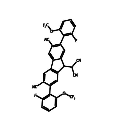 N#Cc1cc2c(cc1-c1c(F)cccc1OC(F)(F)F)C(C(C#N)C#N)c1cc(-c3c(F)cccc3OC(F)(F)F)c(C#N)cc1-2